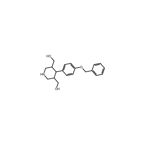 OCC1CNCC(CO)C1c1ccc(OCc2ccccc2)cc1